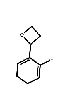 FC1=CCCC=C1C1CCO1